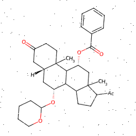 CC(=O)C1CCC2C3C([C@H](OC(=O)c4ccccc4)CC12C)C1(C)CCC(=O)C[C@H]1C[C@H]3OC1CCCCO1